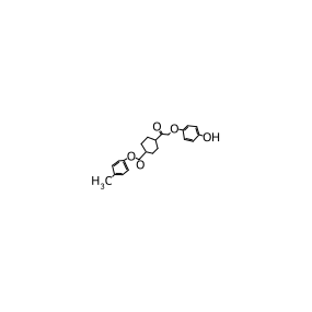 Cc1ccc(OC(=O)C2CCC(C(=O)COc3ccc(O)cc3)CC2)cc1